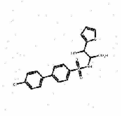 O=C(O)C(NS(=O)(=O)c1ccc(-c2ccc(Cl)cc2)cc1)C(O)c1cccs1